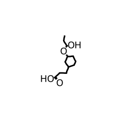 CCC(O)OC1CCCC(CCC(=O)O)C1